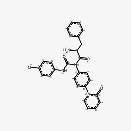 N[C@@H](Cc1ccccc1)C(=O)N(C(=O)Nc1ccc(Cl)cc1)c1ccc(-n2ccccc2=O)cc1